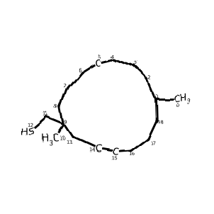 CC1CCCCCCCC(C)(CS)CCCCCC1